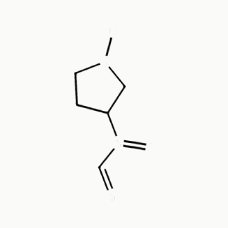 [O-][S+]1CCC(S(=S)C=S)C1